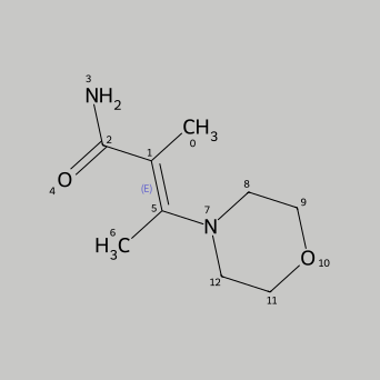 C/C(C(N)=O)=C(/C)N1CCOCC1